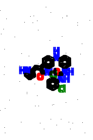 O=C(Nc1cccc(Nc2ccc3c(c2)NC(=O)C3=Cc2ccc[nH]2)c1)Nc1c(Cl)cccc1Cl